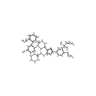 C=Cc1ccc(-c2cn(CCN3CCCCC3)c(C3CCN(c4ncnc(N)c4-c4cccc(F)c4)CC3)n2)cc1C(F)(F)C=C